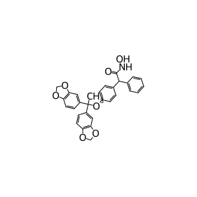 CC(Oc1ccc(C(C(=O)NO)c2ccccc2)cc1)(c1ccc2c(c1)OCO2)c1ccc2c(c1)OCO2